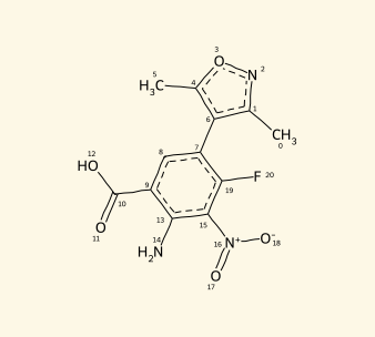 Cc1noc(C)c1-c1cc(C(=O)O)c(N)c([N+](=O)[O-])c1F